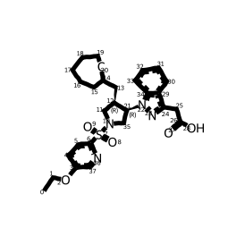 CCOc1ccc(S(=O)(=O)N2C[C@@H](CC3CCCCCC3)[C@@H](n3nc(CC(=O)O)c4ccccc43)C2)nc1